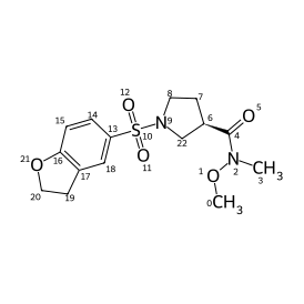 CON(C)C(=O)[C@@H]1CCN(S(=O)(=O)c2ccc3c(c2)CCO3)C1